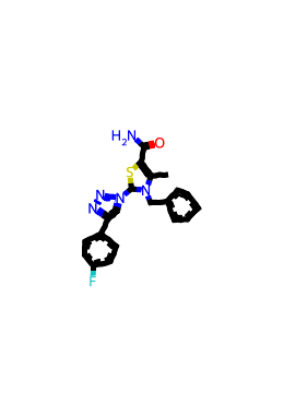 CC1=C(C(N)=O)SC(n2cc(-c3ccc(F)cc3)nn2)N1Cc1ccccc1